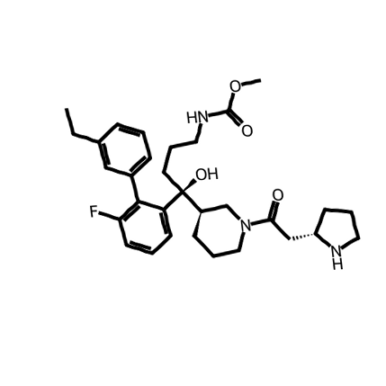 CCc1cccc(-c2c(F)cccc2[C@](O)(CCCNC(=O)OC)[C@@H]2CCCN(C(=O)C[C@@H]3CCCN3)C2)c1